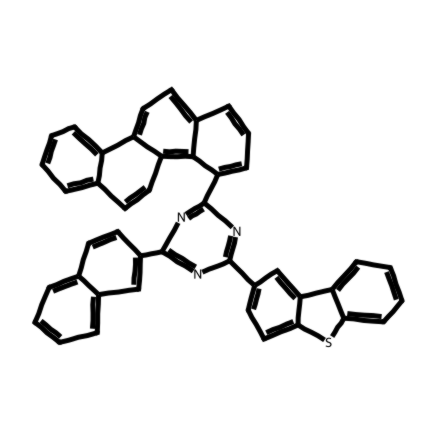 c1ccc2cc(-c3nc(-c4ccc5sc6ccccc6c5c4)nc(-c4cccc5ccc6c7ccccc7ccc6c45)n3)ccc2c1